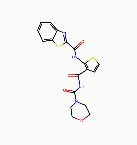 O=C(Nc1sccc1C(=O)NC(=O)N1CCOCC1)c1nc2ccccc2s1